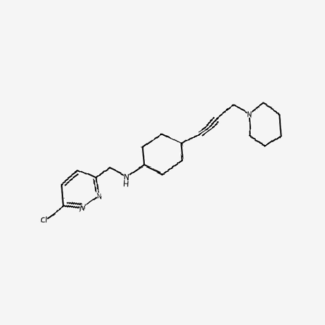 Clc1ccc(CNC2CCC(C#CCN3CCCCC3)CC2)nn1